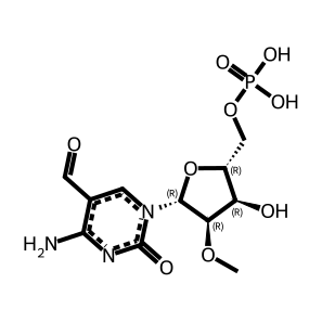 CO[C@@H]1[C@H](O)[C@@H](COP(=O)(O)O)O[C@H]1n1cc(C=O)c(N)nc1=O